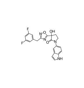 O=C1N(c2ccc3[nH]ccc3c2)CCC1(O)c1nc(Cc2cc(F)cc(F)c2)no1